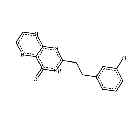 O=c1[nH]c(CCc2cccc(Cl)c2)nc2nccnc12